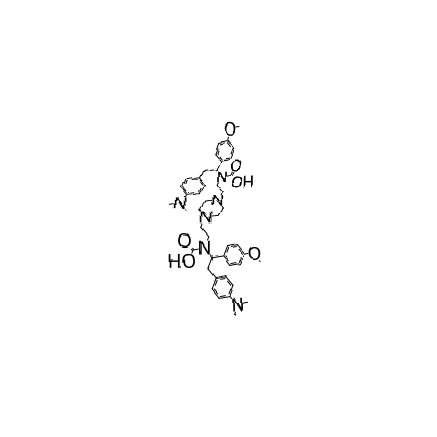 COc1ccc(C(Cc2ccc(N(C)C)cc2)N(CCN2CCN(CCN(C(=O)O)C(Cc3ccc(N(C)C)cc3)c3ccc(OC)cc3)CC2)C(=O)O)cc1